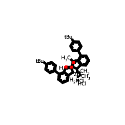 CC1=Cc2c(-c3ccc(C(C)(C)C)cc3)cccc2[CH]1[Zr]([CH3])([CH3])(=[SiH2])[CH]1C(C)=C(C)c2c(-c3ccc(C(C)(C)C)cc3)cccc21.Cl.Cl